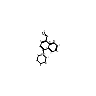 O=Cc1ccc(N2CCCCC2)c2ccccc12